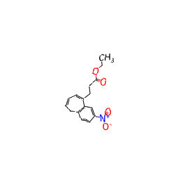 CCOC(=O)CCC1=CC=CCc2ccc([N+](=O)[O-])cc21